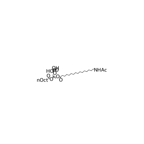 CCCCCCCCC(=O)O[C@H](COC(=O)CCCCCCCCCCCCCCCNC(C)=O)COP(=O)(O)O